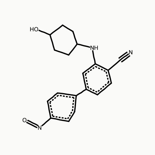 N#Cc1ccc(-c2ccc(N=O)cc2)cc1NC1CCC(O)CC1